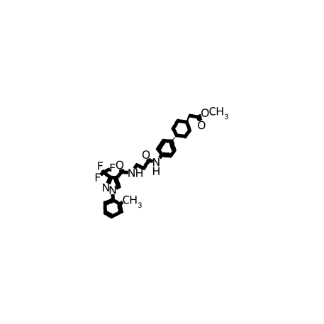 COC(=O)C[C@H]1CC[C@H](c2ccc(NC(=O)CCNC(=O)c3cn(-c4ccccc4C)nc3C(F)(F)F)cc2)CC1